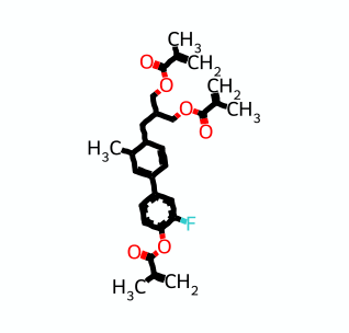 C=C(C)C(=O)OCC(COC(=O)C(=C)C)CC1C=CC(c2ccc(OC(=O)C(=C)C)c(F)c2)=CC1C